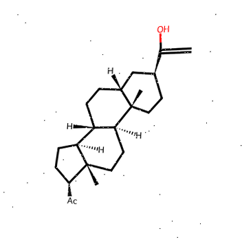 C=C(O)[C@H]1CC[C@@]2(C)[C@H](CC[C@@H]3[C@@H]2CC[C@]2(C)[C@@H](C(C)=O)CC[C@@H]32)C1